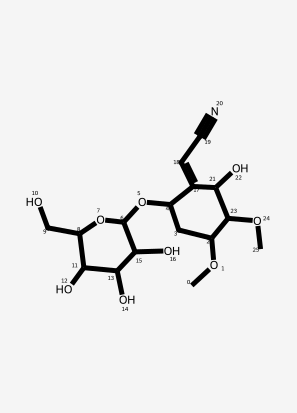 COC1CC(OC2OC(CO)C(O)C(O)C2O)/C(=C/C#N)C(O)C1OC